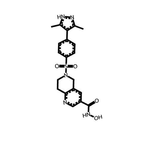 Cc1n[nH]c(C)c1-c1ccc(S(=O)(=O)N2CCc3ncc(C(=O)NO)cc3C2)cc1